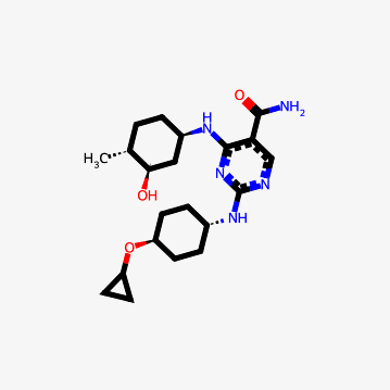 C[C@@H]1CC[C@@H](Nc2nc(N[C@H]3CC[C@H](OC4CC4)CC3)ncc2C(N)=O)C[C@H]1O